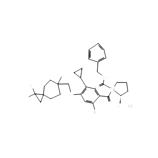 CC1(COc2cc(F)c(C(=O)[N+]3(C(=O)OCc4ccccc4)CCC[C@H]3C(=O)O)cc2C2CC2)CCC2(CC1)CC2(F)F